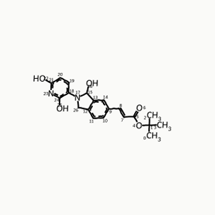 CC(C)(C)OC(=O)/C=C/c1ccc2c(c1)C(O)N(c1ccc(O)nc1O)C2